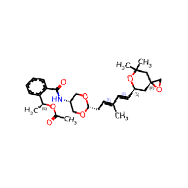 CC(=O)O[C@@H](C)c1ccccc1C(=O)N[C@H]1CO[C@@H](C/C=C(C)/C=C/[C@@H]2C[C@]3(CO3)CC(C)(C)O2)OC1